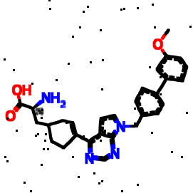 COc1cccc(-c2ccc(Cn3ccc4c(C5=CCC(C[C@H](N)C(=O)O)CC5)ncnc43)cc2)c1